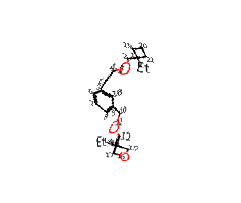 CCC1(COCc2cccc(COCC3(CC)COC3)c2)CCC1